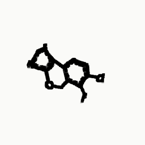 Fc1c(Cl)ccc2c1COc1ncsc1-2